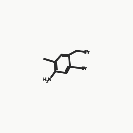 Cc1cc(CC(C)C)c(C(C)C)cc1N